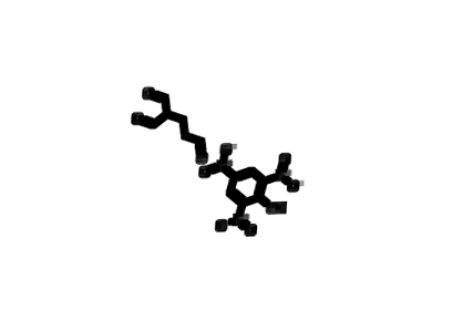 O=CCCC(C=O)C=O.O=[N+]([O-])c1cc([N+](=O)[O-])c(O)c([N+](=O)[O-])c1